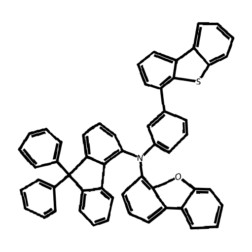 c1ccc(C2(c3ccccc3)c3ccccc3-c3c(N(c4cccc(-c5cccc6c5sc5ccccc56)c4)c4cccc5c4oc4ccccc45)cccc32)cc1